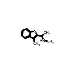 CNC(C)c1sc2ccccc2c1C